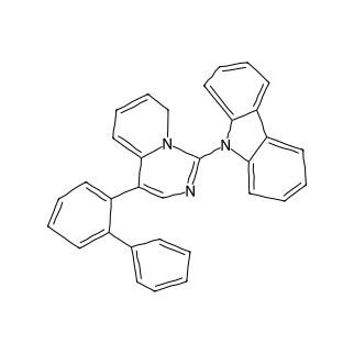 C1=CCN2C(=C1)C(c1ccccc1-c1ccccc1)=CN=C2n1c2ccccc2c2ccccc21